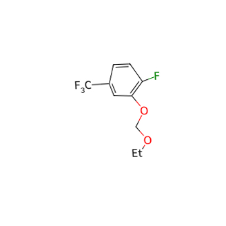 CCOCOc1cc(C(F)(F)F)ccc1F